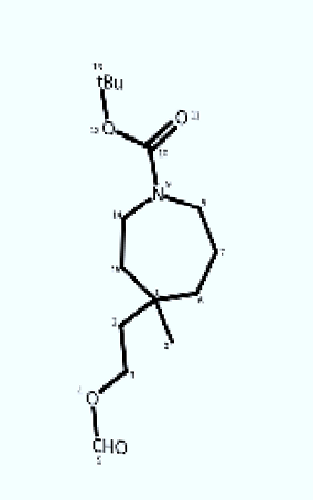 CC1(CCOC=O)CCCN(C(=O)OC(C)(C)C)CC1